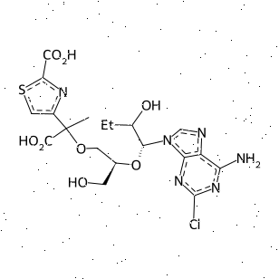 CCC(O)[C@@H](O[C@@H](CO)COC(C)(C(=O)O)c1csc(C(=O)O)n1)n1cnc2c(N)nc(Cl)nc21